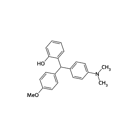 COc1ccc(C(c2ccc(N(C)C)cc2)c2ccccc2O)cc1